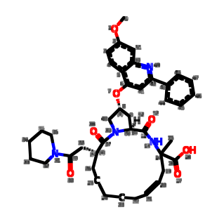 COc1ccc2c(O[C@@H]3C[C@H]4C(=O)NC(C)(C(=O)O)CC=CCCCCC[C@H](CC(=O)N5CCCCC5)C(=O)N4C3)cc(-c3ccccc3)nc2c1